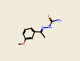 COc1cccc(C(C)=NNC(N)=S)c1